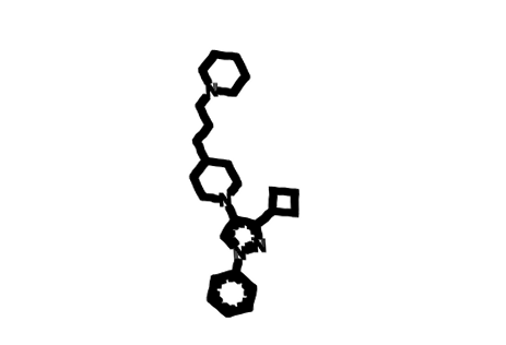 c1ccc(-n2cc(N3CCC(CCCN4CCCCC4)CC3)c(C3CCC3)n2)cc1